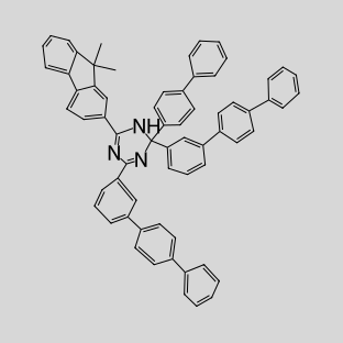 CC1(C)c2ccccc2-c2ccc(C3=NC(c4cccc(-c5ccc(-c6ccccc6)cc5)c4)=NC(c4ccc(-c5ccccc5)cc4)(c4cccc(-c5ccc(-c6ccccc6)cc5)c4)N3)cc21